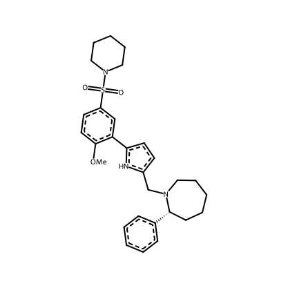 COc1ccc(S(=O)(=O)N2CCCCC2)cc1-c1ccc(CN2CCCCC[C@@H]2c2ccccc2)[nH]1